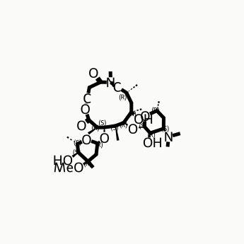 CO[C@]1(C)C[C@H](O[C@H]2[C@H](C)[C@@H](O[C@@H]3O[C@H](C)C[C@H](N(C)C)[C@H]3O)[C@](C)(O)C[C@@H](C)CN(C)C(=O)CCOC(=O)[C@@H]2C)O[C@@H](C)[C@@H]1O